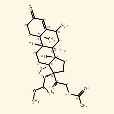 COC(C)O[C@]1(C(=O)COC(C)=O)CC[C@H]2[C@@H]3CC(C)C4=CC(=O)CC[C@]4(C)[C@H]3CC[C@@]21C